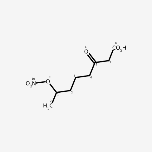 CC(CCCC(=O)CC(=O)O)O[N+](=O)[O-]